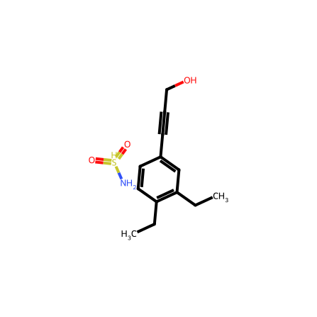 CCc1ccc(C#CCO)cc1CC.N[SH](=O)=O